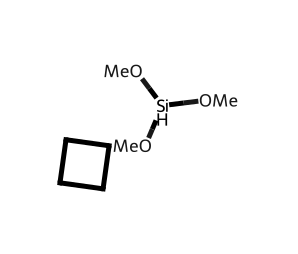 C1CCC1.CO[SiH](OC)OC